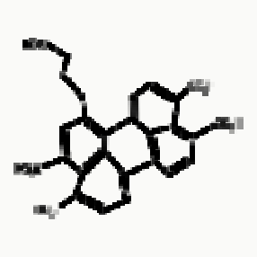 CCCCCCCCCCCCCc1cc(C(=O)O)c2c(C(=O)O)ccc3c4ccc(C(=O)O)c5c(C(=O)O)ccc(c1c23)c54